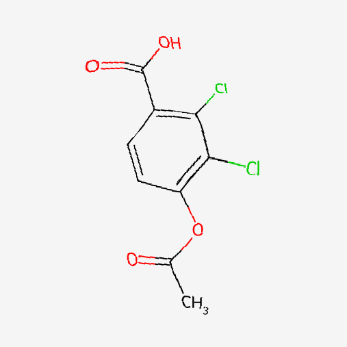 CC(=O)Oc1ccc(C(=O)O)c(Cl)c1Cl